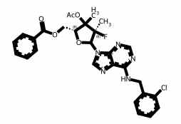 CC(=O)OC1(C)[C@@H](COC(=O)c2ccccc2)OC(n2cnc3c(NCc4ccccc4Cl)ncnc32)[C@]1(C)F